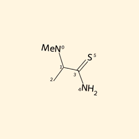 CNC(C)C(N)=S